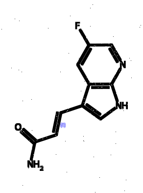 NC(=O)/C=C/c1c[nH]c2ncc(F)cc12